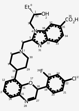 CC[C@H](O)Cn1c(CN2CCC(c3cccc4c3OC(c3ccc(Cl)cc3F)C=N4)CC2)nc2ccc(C(=O)O)cc21